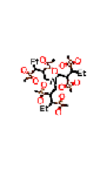 CCC(C([CH2][Al]([CH2]C(C(CC)S(C)(=O)=O)S(C)(=O)=O)[CH2]C(C(CC)S(C)(=O)=O)S(C)(=O)=O)S(C)(=O)=O)S(C)(=O)=O